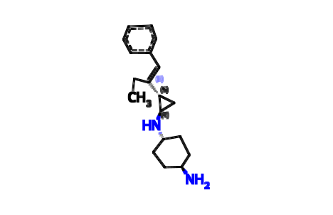 CC/C(=C\c1ccccc1)[C@@H]1C[C@H]1N[C@H]1CC[C@H](N)CC1